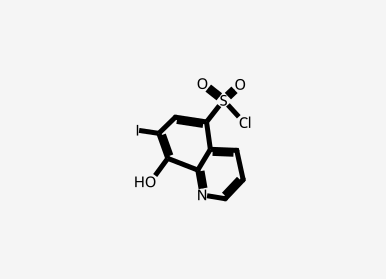 O=S(=O)(Cl)c1cc(I)c(O)c2ncccc12